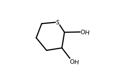 OC1CCCSC1O